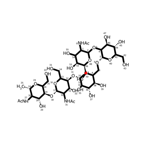 CC(=O)NC1C(OC2[C@@H](OCC3O[C@@H](O[C@@H]4C(CO)O[C@@H](O[C@@H]5C(CO)O[C@@H](C)C(NC(C)=O)[C@H]5O)C(NC(C)=O)[C@H]4O)C(O)[C@@H](O)[C@@H]3O)OC(CO)[C@@H](O)[C@@H]2O)O[C@@H](CO)[C@@H](O)C1O